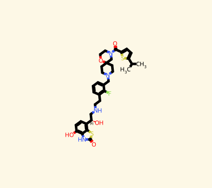 CC(C)c1ccc(C(=O)N2CCOC3(CCN(Cc4cccc(CCNC[C@H](O)c5ccc(O)c6[nH]c(=O)sc56)c4F)CC3)C2)s1